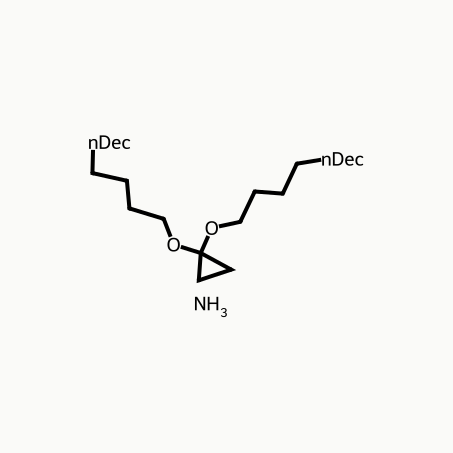 CCCCCCCCCCCCCCOC1(OCCCCCCCCCCCCCC)CC1.N